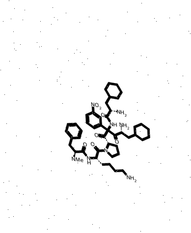 CN[C@@H](Cc1ccccc1)C(=O)N[C@@H](CCCCN)C(=O)N1CCC[C@H]1C(=O)C(NC(=O)[C@@H](N)CC1CCCCC1)(C(=O)[C@H](N)CC1CCCCC1)c1cccc([N+](=O)[O-])c1